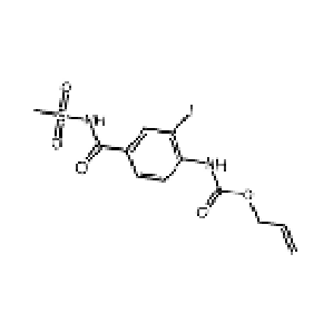 C=CCOC(=O)Nc1ccc(C(=O)NS(C)(=O)=O)cc1I